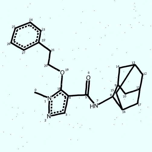 Cn1ncc(C(=O)NC2C3CC4CC(C3)CC2C4)c1OCCc1ccccc1